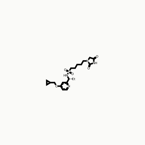 CC[C@@H](NS(=O)(=O)CCCCCN1CC(=O)NC1=O)c1cc(OCC2CC2)ccn1